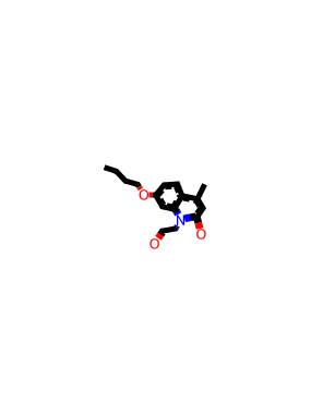 CCCCOc1ccc2c(C)cc(=O)n(CC=O)c2c1